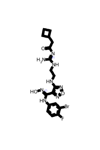 N/C(=N\C(=O)CC1CCC1)NCCNc1nonc1/C(=N/O)Nc1ccc(F)c(Br)c1